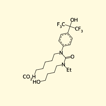 CCN(CCCCO)C(=O)N(CCCCCC(=O)O)c1ccc(C(O)(C(F)(F)F)C(F)(F)F)cc1